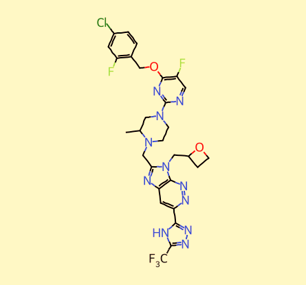 CC1CN(c2ncc(F)c(OCc3ccc(Cl)cc3F)n2)CCN1Cc1nc2cc(-c3nnc(C(F)(F)F)[nH]3)nnc2n1CC1CCO1